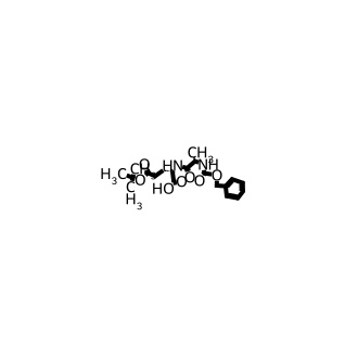 C[C@H](NC(=O)OCc1ccccc1)C(=O)N[C@@H](CCC(=O)OC(C)(C)C)C(=O)O